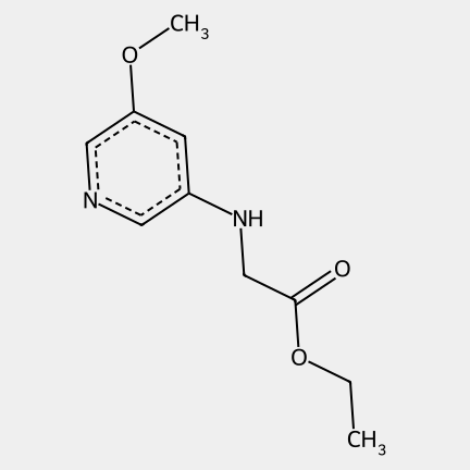 CCOC(=O)CNc1cncc(OC)c1